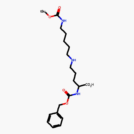 CC(C)(C)OC(=O)NCCCCCNCCCC(NC(=O)OCc1ccccc1)C(=O)O